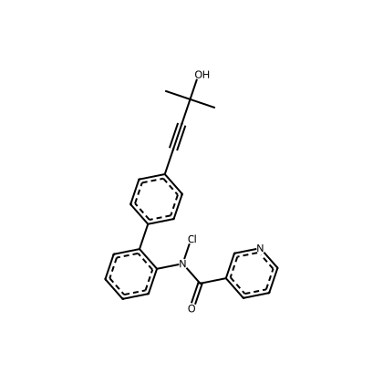 CC(C)(O)C#Cc1ccc(-c2ccccc2N(Cl)C(=O)c2cccnc2)cc1